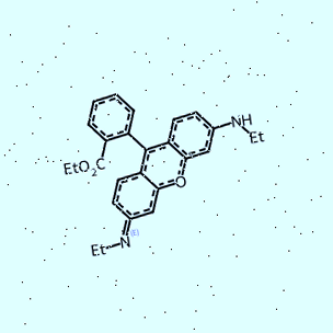 CC/N=c1\ccc2c(-c3ccccc3C(=O)OCC)c3ccc(NCC)cc3oc-2c1